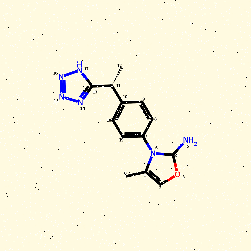 CC1=COC(N)N1c1ccc([C@@H](C)c2nnn[nH]2)cc1